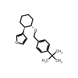 CC(C)(C)c1ccc(CO[C@H]2CCCC[C@@H]2c2ccoc2)cc1